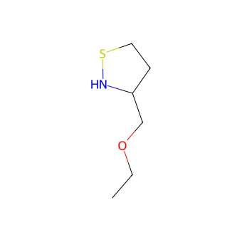 CCOCC1CCSN1